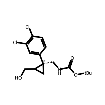 CC(C)(C)OC(=O)NC[C@]1(c2ccc(Cl)c(Cl)c2)CC1CO